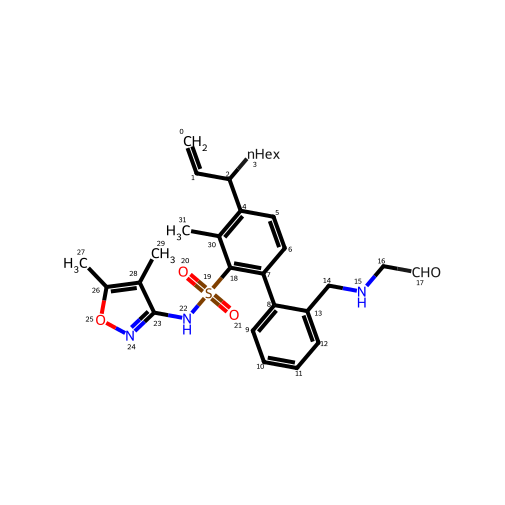 C=CC(CCCCCC)c1ccc(-c2ccccc2CNCC=O)c(S(=O)(=O)Nc2noc(C)c2C)c1C